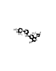 CC(C)c1cnc(N2C[C@@H](F)[C@@H]2C)c2cnc(Nc3ccnc(N4CC[C@@H](O)[C@@](C)(F)C4)n3)cc12